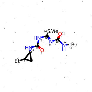 CCC1CC1NC(=O)NC(=NC(=O)NC(C)(C)C)SC